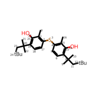 Cc1c(Sc2ccc(C(C)(C)CC(C)(C)C)c(O)c2C)ccc(C(C)(C)CC(C)(C)C)c1O